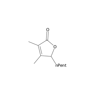 CCCCCC1OC(=O)C(C)=C1C